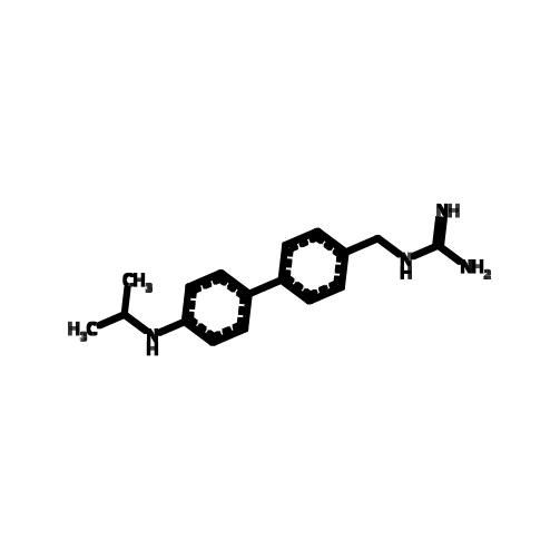 CC(C)Nc1ccc(-c2ccc(CNC(=N)N)cc2)cc1